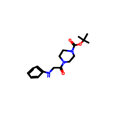 CC(C)(C)OC(=O)N1CCN(C(=O)CNc2ccccc2)CC1